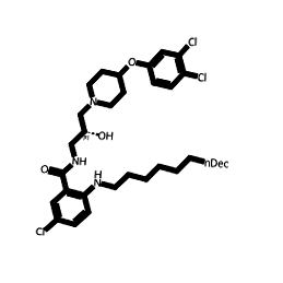 CCCCCCCCCCCCCCCCNc1ccc(Cl)cc1C(=O)NC[C@@H](O)CN1CCC(Oc2ccc(Cl)c(Cl)c2)CC1